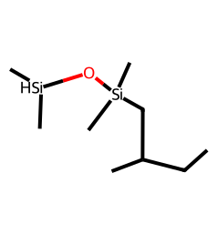 CCC(C)C[Si](C)(C)O[SiH](C)C